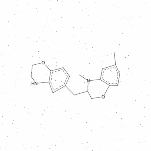 Cc1ccc2c(c1)N(C)C(Cc1ccc3c(c1)NCCO3)CO2